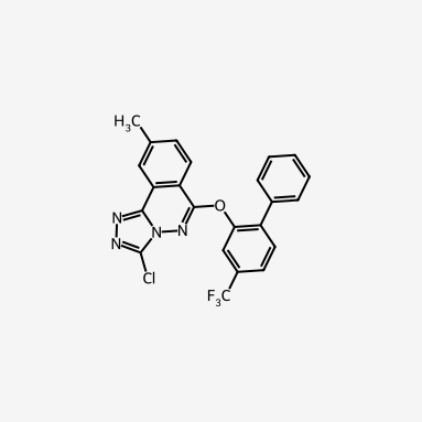 Cc1ccc2c(Oc3cc(C(F)(F)F)ccc3-c3ccccc3)nn3c(Cl)nnc3c2c1